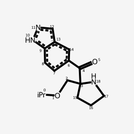 CC(C)OCC1(C(=O)c2ccc3[nH]ncc3c2)CCCN1